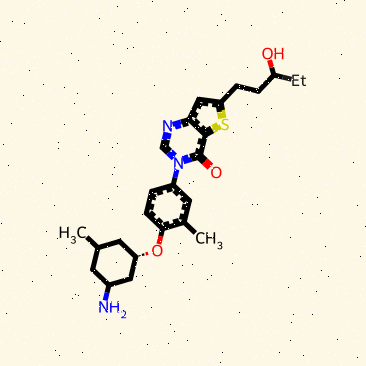 CCC(O)CCc1cc2ncn(-c3ccc(O[C@H]4CC(C)CC(N)C4)c(C)c3)c(=O)c2s1